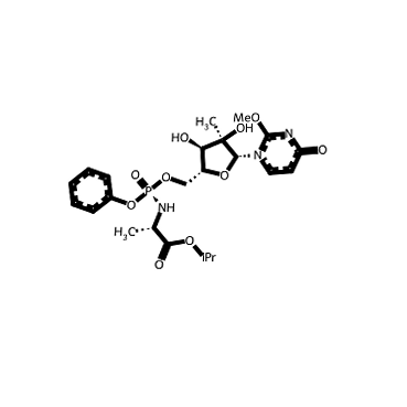 COc1nc(=O)ccn1[C@@H]1O[C@H](CO[P@@](=O)(N[C@@H](C)C(=O)OC(C)C)Oc2ccccc2)[C@@H](O)[C@@]1(C)O